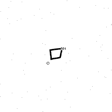 C1CNC1.[O]